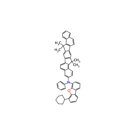 CC1(C)c2cc3c(cc2-c2ccc4ccccc4c21)C(C)(C)c1c-3ccc2cc(N(c3ccccc3)c3cccc4c3oc3c(C5CCCCC5)cccc34)ccc12